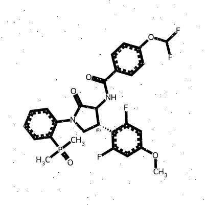 COc1cc(F)c([C@@H]2CN(c3ccccc3P(C)(C)=O)C(=O)C2NC(=O)c2ccc(OC(F)F)cc2)c(F)c1